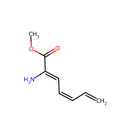 C=C/C=C\C=C(/N)C(=O)OC